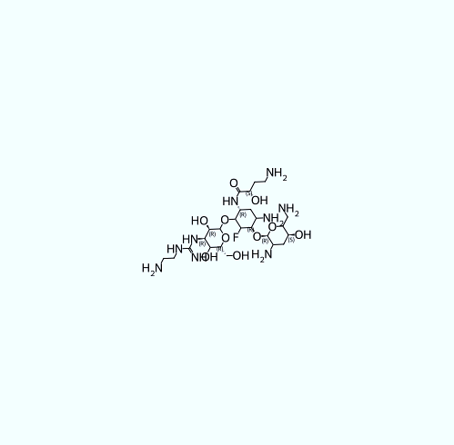 N=C(NCCN)N[C@@H]1C(O)[C@@H](CO)OC(OC2C(F)[C@H](O[C@H]3OC(CN)[C@@H](O)CC3N)C(N)C[C@H]2NC(=O)[C@@H](O)CCN)[C@@H]1O